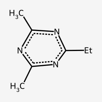 CCc1nc(C)nc(C)n1